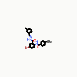 Cc1cccc(/C=N/NC(=O)c2cc(Br)ccc2NC(=O)c2ccc(C(C)(C)C)cc2)c1